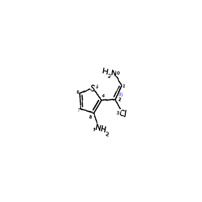 N/C=C(/Cl)c1sccc1N